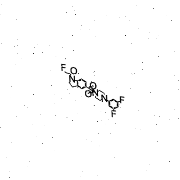 O=C(CF)N1CCc2cc(S(=O)(=O)N3CCN(c4cc(F)cc(F)c4)CC3)ccc21